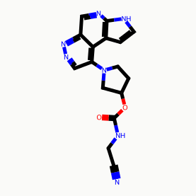 N#CCNC(=O)OC1CCN(c2cnnc3cnc4[nH]ccc4c23)C1